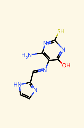 Nc1nc(S)nc(O)c1/N=C/c1ncc[nH]1